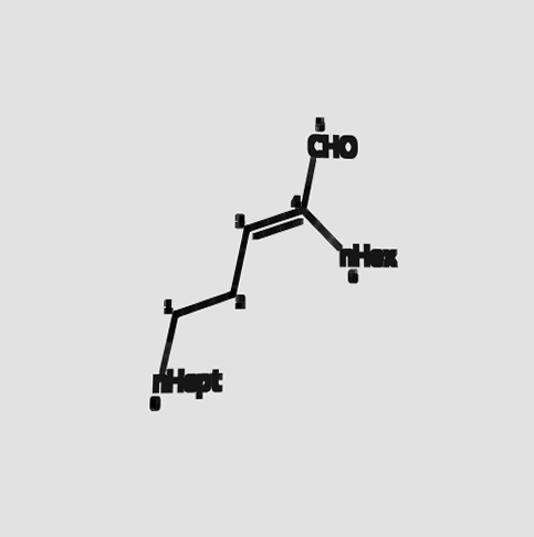 CCCCCCCCCC=C(C=O)CCCCCC